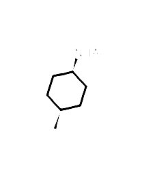 CC(=O)N[C@H]1CC[C@@H](C)CC1